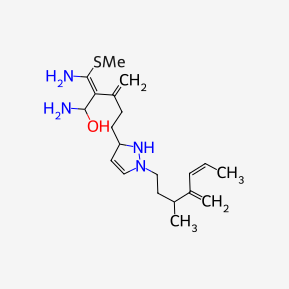 C=C(CCC1C=CN(CCC(C)C(=C)/C=C\C)N1)/C(=C(/N)SC)C(N)O